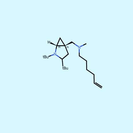 C=CCCCCN(C)C[C@@]12CC(C(C)(C)C)N(C(C)(C)C)[C@@H]1C2